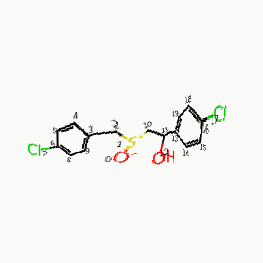 [O-][S+](Cc1ccc(Cl)cc1)CC(O)c1ccc(Cl)cc1